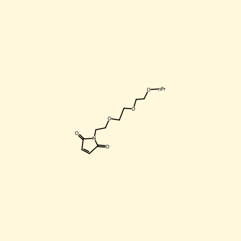 CCCOCCOCCOCCN1C(=O)C=CC1=O